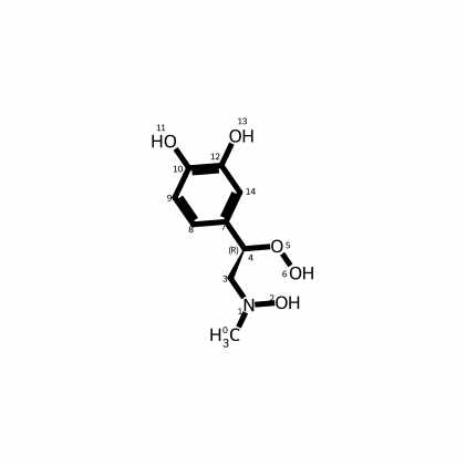 CN(O)C[C@H](OO)c1ccc(O)c(O)c1